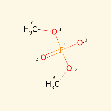 COP([O])(=O)OC